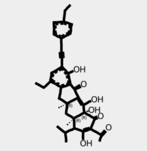 CCc1ccc(C#Cc2cc(CC)c3c(c2O)C(=O)C2=C(O)[C@@]4(O)C(=O)C(C(C)=O)=C(O)C(C(C)C)[C@@]4(C)C[C@@]2(C)C3)cc1